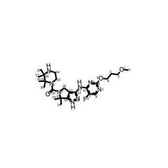 COCCCOc1ncc(F)c(Nc2n[nH]c3c2CN(C(=O)N2CCNC(C)(C)C2(C)C)C3(C)C)n1